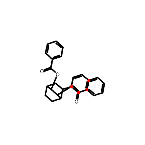 O=C(OC1C2CCC(C(c3ccccc3)C2)C1OC(=O)c1ccccc1)c1ccccc1